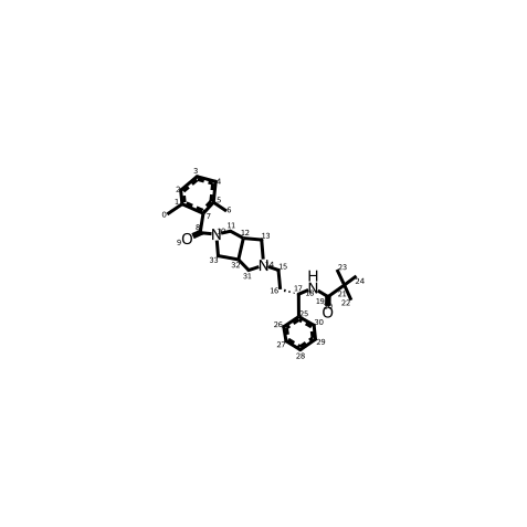 Cc1cccc(C)c1C(=O)N1CC2CN(CC[C@H](NC(=O)C(C)(C)C)c3ccccc3)CC2C1